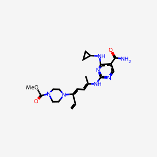 C=C/C(=C\C=C(/C)Nc1ncc(C(N)=O)c(NC2CC2)n1)N1CCN(C(=O)OC)CC1